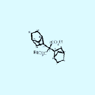 CCOC(=O)C(C(=O)OCC)(C1CC2CCC1C2)C1CC2CCC1C2